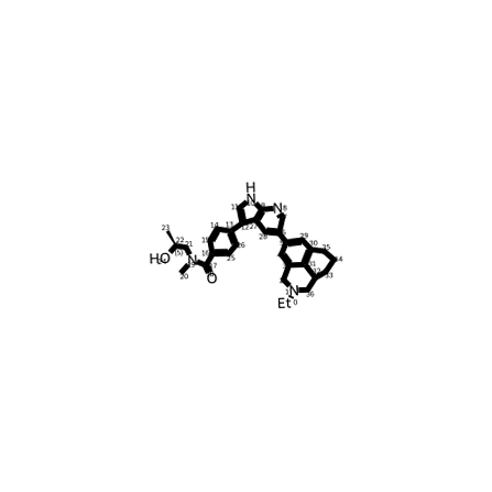 CCN1Cc2cc(-c3cnc4[nH]cc(-c5ccc(C(=O)N(C)C[C@H](C)O)cc5)c4c3)cc3c2C(CCC3)C1